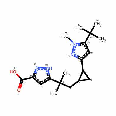 Cn1nc(C2CC2CC(C)(C)c2cc(C(=O)O)n[nH]2)cc1C(C)(C)C